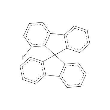 Ic1cccc2c1C1(c3ccccc3-c3ccccc31)c1ccccc1-2